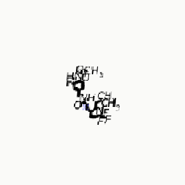 CC(C)Cc1nc(C(F)(F)F)ccc1/C=C/C(=O)NCc1ccc(NS(C)(=O)=O)c(F)c1